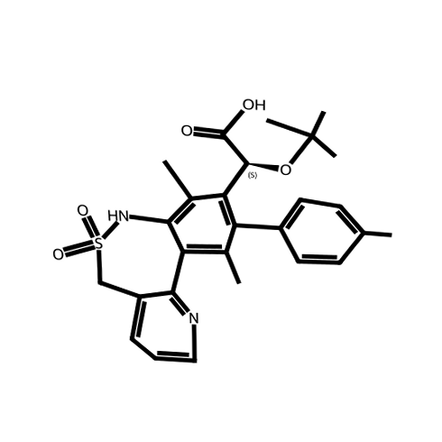 Cc1ccc(-c2c(C)c3c(c(C)c2[C@H](OC(C)(C)C)C(=O)O)NS(=O)(=O)Cc2cccnc2-3)cc1